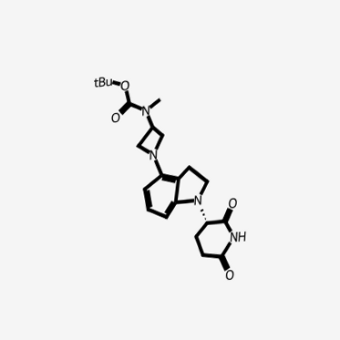 CN(C(=O)OC(C)(C)C)C1CN(c2cccc3c2CCN3[C@H]2CCC(=O)NC2=O)C1